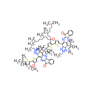 CCn1nc2c(-c3cc4c(s3)-c3sc(C(C)(C)C(C)(C)c5c6nc7c(nc6c(-c6cc8c(s6)-c6sc(C(C)(C)C)cc6C(C)(I)O8)c6nn(CC)nc56)C(=O)c5ccccc5-7)cc3C(CCC(C)CCCC(C)C)(CCC(C)CCCC(C)C)O4)c3nc4c(nc3c(C(C)(C)C)c2n1)-c1ccccc1C4=O